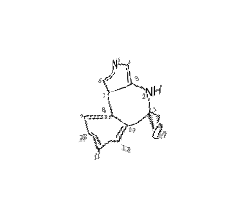 O=C1NC2=CN=CC2c2ccccc21